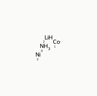 N.[Co].[LiH].[Ni]